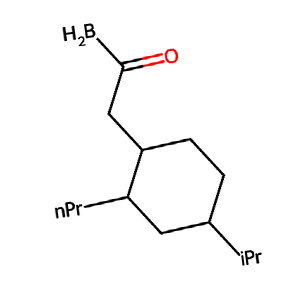 BC(=O)CC1CCC(C(C)C)CC1CCC